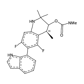 CNC(=O)OC1[C@@H](C)c2c(cc(F)c(-c3cccc4cc[nH]c34)c2F)NC1(C)C